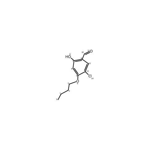 CCCCOc1cc(O)c(C=O)cc1Cl